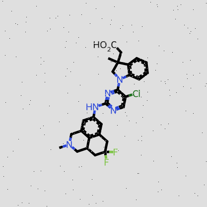 CN1Cc2cc(Nc3ncc(Cl)c(N4CC(C)(CC(=O)O)c5ccccc54)n3)cc3c2C(C1)CC(F)(F)C3